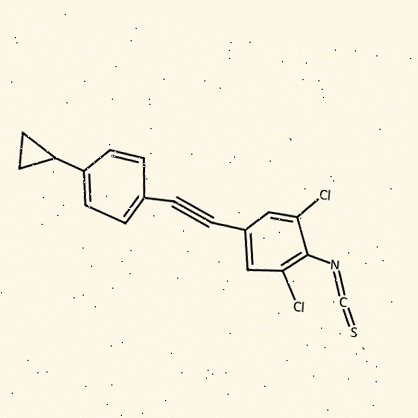 S=C=Nc1c(Cl)cc(C#Cc2ccc(C3CC3)cc2)cc1Cl